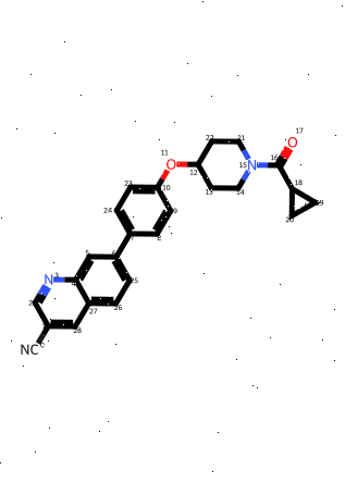 N#Cc1cnc2cc(-c3ccc(OC4CCN(C(=O)C5CC5)CC4)cc3)ccc2c1